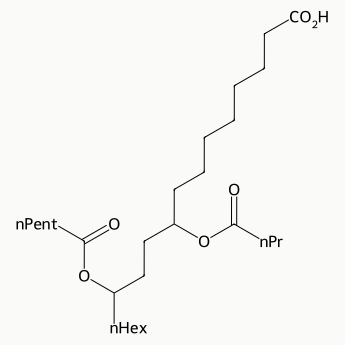 CCCCCCC(CCC(CCCCCCCC(=O)O)OC(=O)CCC)OC(=O)CCCCC